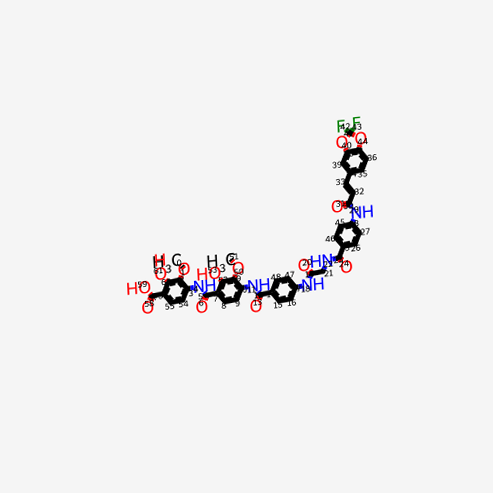 COc1c(NC(=O)c2ccc(NC(=O)c3ccc(NC(=O)CNC(=O)c4ccc(NC(=O)/C=C/c5ccc6c(c5)OC(F)(F)O6)cc4)cc3)c(OC)c2O)ccc(C(=O)O)c1O